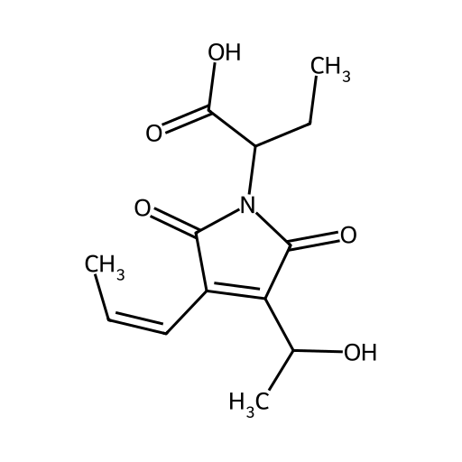 C/C=C\C1=C(C(C)O)C(=O)N(C(CC)C(=O)O)C1=O